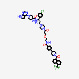 NC1(C(=O)N[C@@H](CCN2CCN(C(=O)CCOCCNC(=O)c3ccc(C4CCN(C(=O)c5cccc6c(C(F)(F)F)cccc56)CC4)cc3)CC2)c2ccc(Cl)cc2)CCN(c2ncnc3[nH]ccc23)CC1